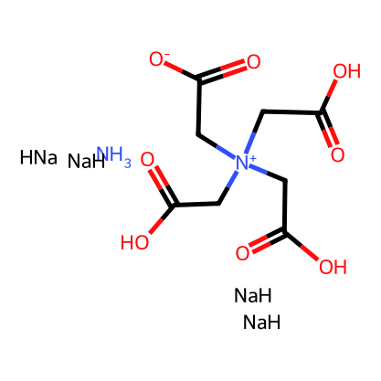 N.O=C([O-])C[N+](CC(=O)O)(CC(=O)O)CC(=O)O.[NaH].[NaH].[NaH].[NaH]